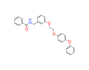 O=C(NCc1[c]c(OCCOc2ccc(Oc3ccccc3)cc2)ccc1)c1ccccc1